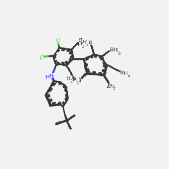 Bc1c(B)c(B)c(-c2c(B)c(Cl)c(Cl)c(Nc3ccc(C(C)(C)C)cc3)c2B)c(B)c1B